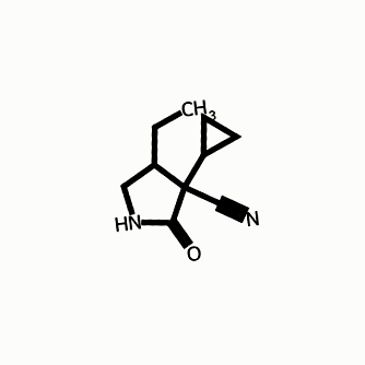 CCC1CNC(=O)C1(C#N)C1CC1